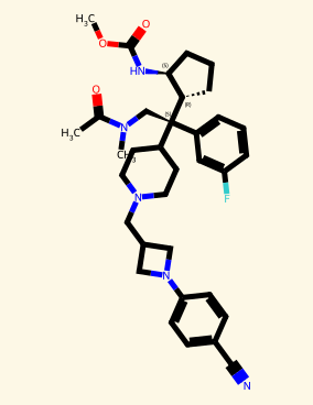 COC(=O)N[C@H]1CCC[C@@H]1[C@](CN(C)C(C)=O)(c1cccc(F)c1)C1CCN(CC2CN(c3ccc(C#N)cc3)C2)CC1